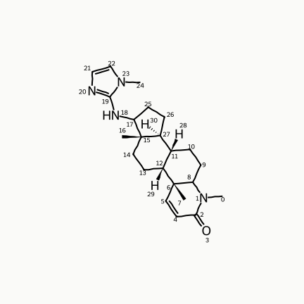 CN1C(=O)C=C[C@@]2(C)C1CC[C@@H]1[C@H]2CC[C@]2(C)C(Nc3nccn3C)CC[C@@H]12